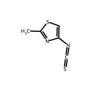 Cc1nc(N=C=S)cs1